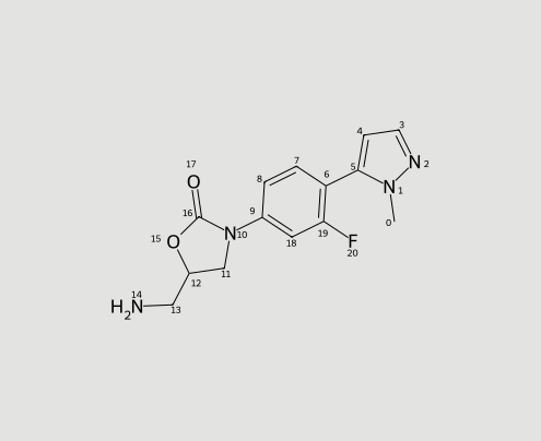 Cn1nccc1-c1ccc(N2CC(CN)OC2=O)cc1F